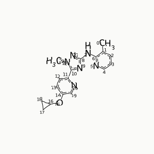 Cc1cccnc1Nc1nc(-c2ccc(OC3CC3)cn2)n(C)n1